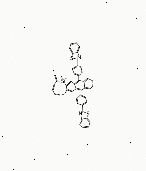 C=C1/C=C\C=C/Cc2cc3c(-c4ccc(-c5nc6ccccc6s5)cc4)c4ccccc4c(-c4ccc(-c5nc6ccccc6s5)cc4)c3cc2[Si]1(C)C